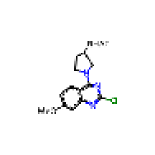 COc1ccc2c(N3CCC(NC(C)=O)C3)nc(Cl)nc2c1